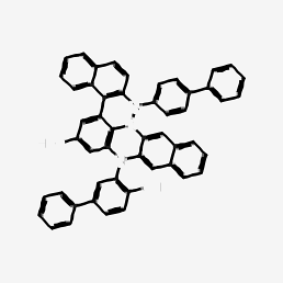 Cc1cc2c3c(c1)N(c1cc(-c4ccccc4)ccc1C)c1cc4ccccc4cc1B3N(c1ccc(-c3ccccc3)cc1)c1ccc3ccccc3c1-2